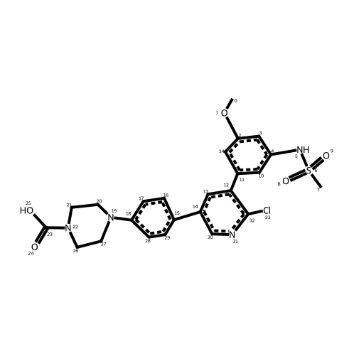 COc1cc(NS(C)(=O)=O)cc(-c2cc(-c3ccc(N4CCN(C(=O)O)CC4)cc3)cnc2Cl)c1